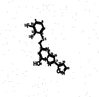 Oc1cc(CSc2cccc(F)c2F)nc2cc(-c3ccno3)nn12